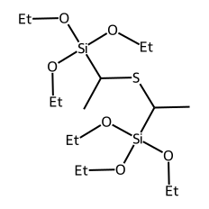 CCO[Si](OCC)(OCC)C(C)SC(C)[Si](OCC)(OCC)OCC